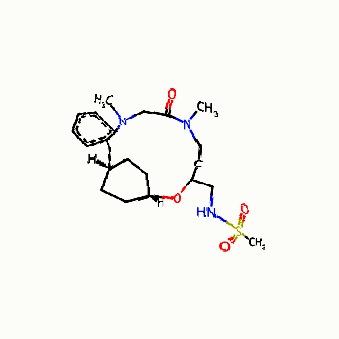 CN1CCC(CNS(C)(=O)=O)O[C@H]2CC[C@H](CC2)c2ccccc2N(C)CC1=O